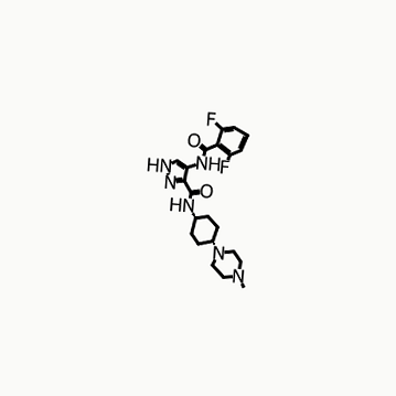 CN1CCN([C@H]2CC[C@H](NC(=O)c3n[nH]cc3NC(=O)c3c(F)cccc3F)CC2)CC1